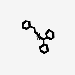 C(Cc1ccccc1)=NN=C(c1ccccc1)c1ccccc1